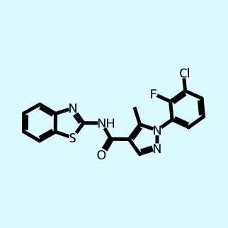 Cc1c(C(=O)Nc2nc3ccccc3s2)cnn1-c1cccc(Cl)c1F